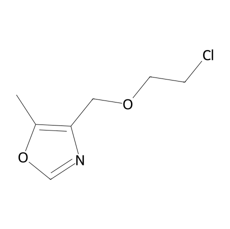 Cc1ocnc1COCCCl